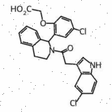 O=C(O)COc1ccc(Cl)cc1C1c2ccccc2CCN1C(=O)Cc1c[nH]c2ccc(Cl)cc12